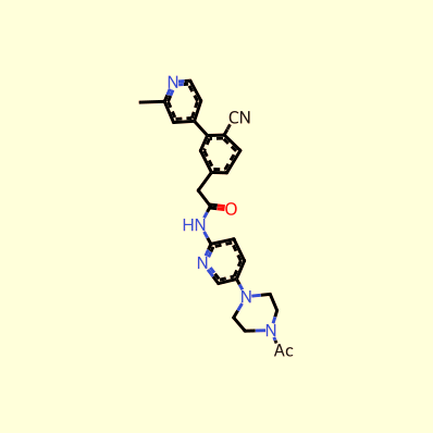 CC(=O)N1CCN(c2ccc(NC(=O)Cc3ccc(C#N)c(-c4ccnc(C)c4)c3)nc2)CC1